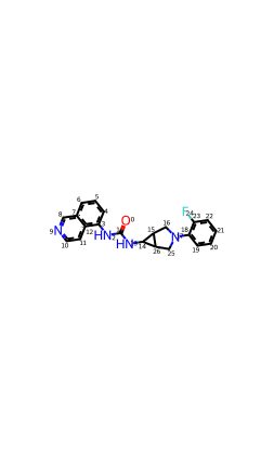 O=C(Nc1cccc2cnccc12)NC1C2CN(c3ccccc3F)CC21